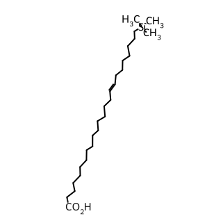 C[Si](C)(C)CCCCCCCC=CCCCCCCCCCCCCCCC(=O)O